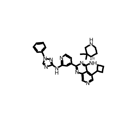 CC1(C)CNCC[C@@H]1Nc1nc(-c2ccnc(Nc3ncn(-c4ccccc4)n3)c2)nc2cncc(C3CCC3)c12